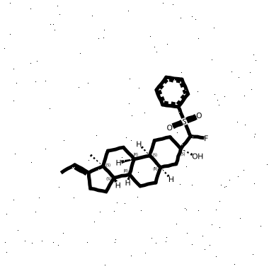 CC=C1CC[C@H]2[C@@H]3CC[C@@H]4C[C@](O)(C(F)S(=O)(=O)c5ccccc5)CC[C@@H]4[C@H]3CC[C@]12C